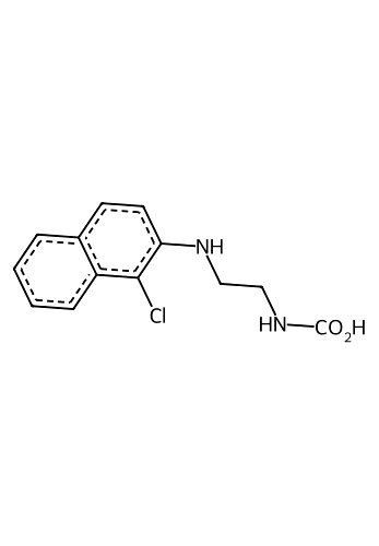 O=C(O)NCCNc1ccc2ccccc2c1Cl